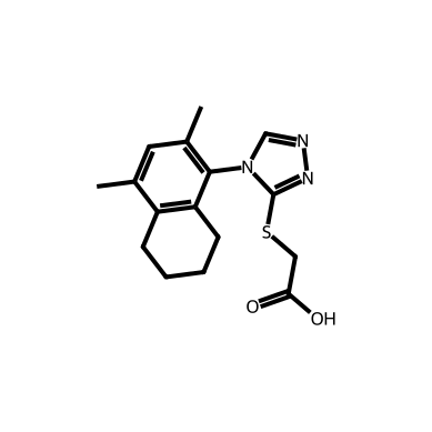 Cc1cc(C)c(-n2cnnc2SCC(=O)O)c2c1CCCC2